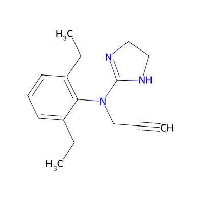 C#CCN(C1=NCCN1)c1c(CC)cccc1CC